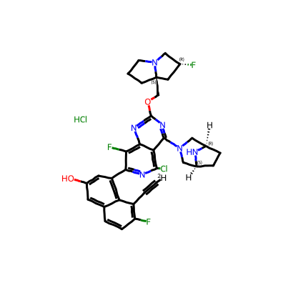 Cl.[2H]C#Cc1c(F)ccc2cc(O)cc(-c3nc(Cl)c4c(N5C[C@H]6CC[C@@H](C5)N6)nc(OC[C@@]56CCCN5C[C@H](F)C6)nc4c3F)c12